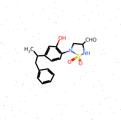 CC(Cc1ccccc1)c1ccc(N2CC(C=O)NS2(=O)=O)c(O)c1